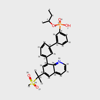 CCC(C)OP(=O)(O)c1cccc(-c2cccc(-c3cc(C(C)(C)S(C)(=O)=O)cc4cccnc34)c2)c1